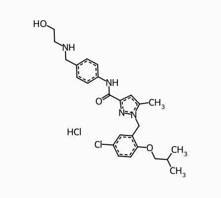 Cc1cc(C(=O)Nc2ccc(CNCCO)cc2)nn1Cc1cc(Cl)ccc1OCC(C)C.Cl